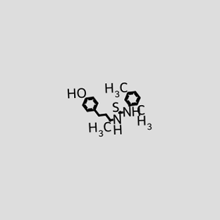 Cc1ccc(C)c(NC(=S)NC(C)CCc2ccc(O)cc2)c1